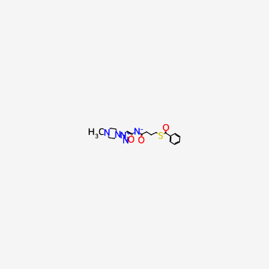 CN1CCN([n+]2cc([N-]C(=O)CCCSC(=O)c3ccccc3)on2)CC1